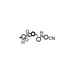 C=C1CCC(N2Cc3cc(C[C@H]4CCCC[C@@H]4N[C@H]4CC[C@@H](C#N)CC4)ccc3C2=O)C(=O)N1